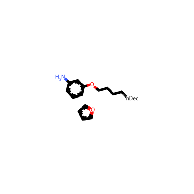 CCCCCCCCCCCCCCOc1cccc(N)c1.c1ccoc1